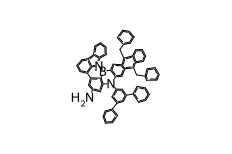 Nc1cc2c3c(c1)N(c1cc(-c4ccccc4)cc(-c4ccccc4)c1)c1cc4c(Cc5ccccc5)c5ccccc5c(Cc5ccccc5)c4cc1B3n1c3ccccc3c3cccc-2c31